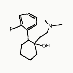 CN(C)CCC1(O)CCCCC1c1ccccc1F